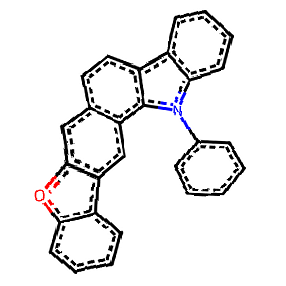 c1ccc(-n2c3ccccc3c3ccc4cc5oc6ccccc6c5cc4c32)cc1